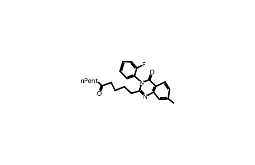 CCCCCC(=O)CCCCc1nc2cc(C)ccc2c(=O)n1-c1ccccc1F